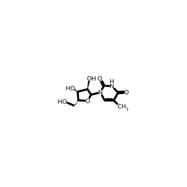 Cc1cn(C2O[C@H](CO)[C@H](O)[C@H]2O)c(=O)[nH]c1=O